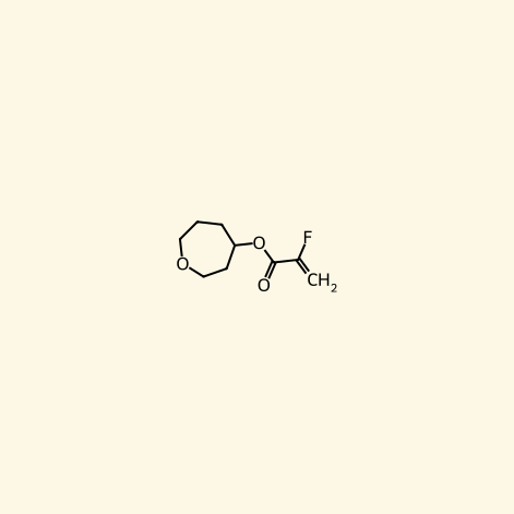 C=C(F)C(=O)OC1CCCOCC1